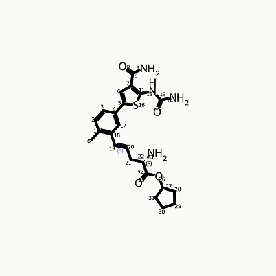 Cc1ccc(-c2cc(C(N)=O)c(NC(N)=O)s2)cc1/C=C/C[C@H](N)C(=O)OC1CCCC1